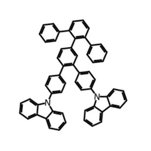 c1ccc(-c2cccc(-c3ccccc3)c2-c2ccc(-c3ccc(-n4c5ccccc5c5ccccc54)cc3)c(-c3ccc(-n4c5ccccc5c5ccccc54)cc3)c2)cc1